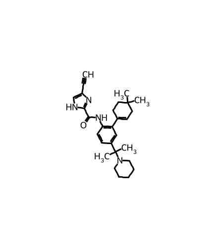 C#Cc1c[nH]c(C(=O)Nc2ccc(C(C)(C)N3CCCCC3)cc2C2=CCC(C)(C)CC2)n1